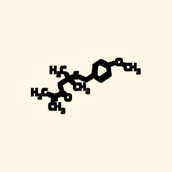 COc1ccc(CSC(C)(C)CC(=O)N(C)C)cc1